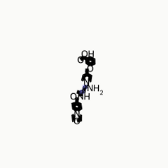 C/C(=C\C=C(/N)N1CCC(COc2cccc(C(=O)O)c2)CC1)NC(=O)c1ccc(N2CCOCC2)cc1